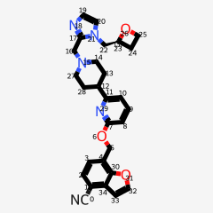 N#Cc1ccc(COc2cccc(C3CCN(Cc4nccn4C[C@@H]4CCO4)CC3)n2)c2occc12